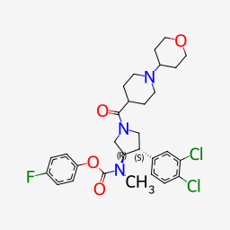 CN(C(=O)Oc1ccc(F)cc1)[C@H]1CN(C(=O)C2CCN(C3CCOCC3)CC2)C[C@@H]1c1ccc(Cl)c(Cl)c1